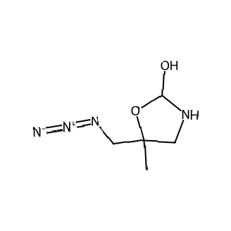 CC1(CN=[N+]=[N-])CNC(O)O1